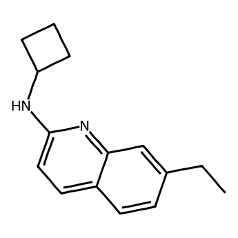 CCc1ccc2ccc(NC3CCC3)nc2c1